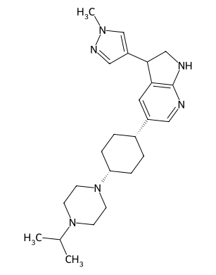 CC(C)N1CCN([C@H]2CC[C@@H](c3cnc4c(c3)C(c3cnn(C)c3)CN4)CC2)CC1